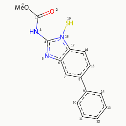 COC(=O)Nc1nc2cc(-c3ccccc3)ccc2n1S